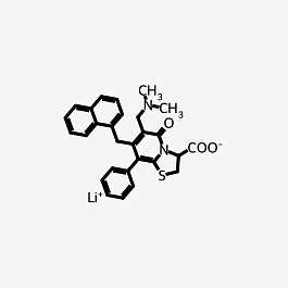 CN(C)Cc1c(Cc2cccc3ccccc23)c(-c2ccccc2)c2n(c1=O)C(C(=O)[O-])CS2.[Li+]